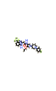 C=CCO[C@H]1CN(C2CCCN(c3ccc(F)cc3)CC2)CC1NC(=O)Cc1nc2c(C(F)(F)F)cccc2[nH]1